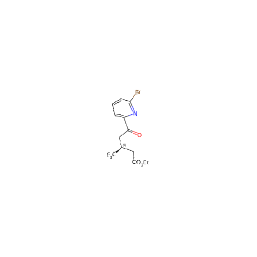 CCOC(=O)C[C@H](CC(=O)c1cccc(Br)n1)C(F)(F)F